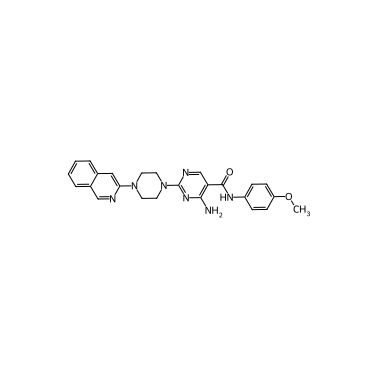 COc1ccc(NC(=O)c2cnc(N3CCN(c4cc5ccccc5cn4)CC3)nc2N)cc1